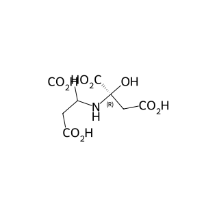 O=C(O)CC(N[C@@](O)(CC(=O)O)C(=O)O)C(=O)O